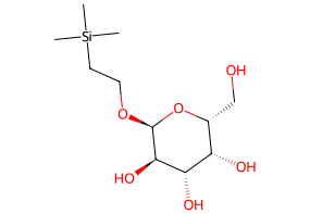 C[Si](C)(C)CCO[C@H]1O[C@H](CO)[C@H](O)[C@H](O)[C@H]1O